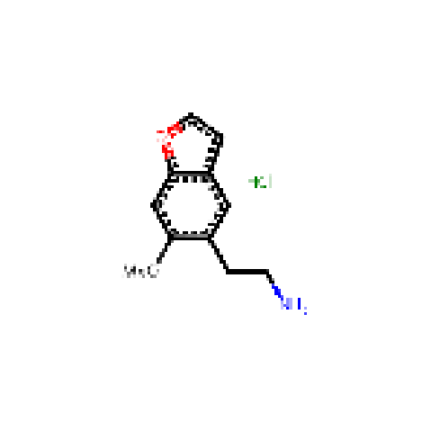 COc1cc2occc2cc1CCN.Cl